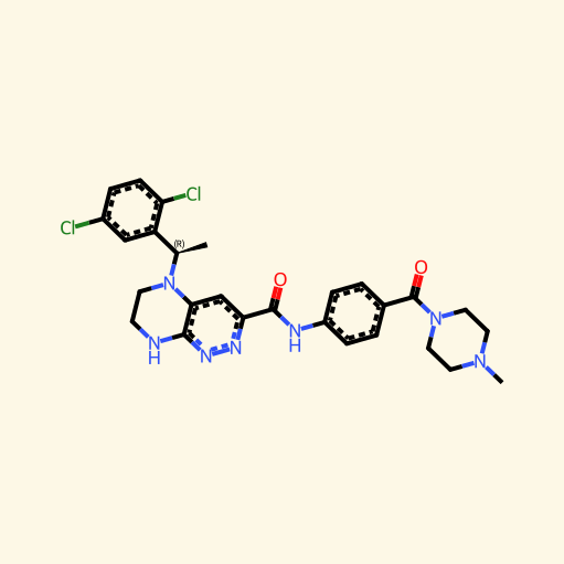 C[C@H](c1cc(Cl)ccc1Cl)N1CCNc2nnc(C(=O)Nc3ccc(C(=O)N4CCN(C)CC4)cc3)cc21